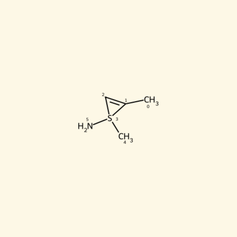 CC1=CS1(C)N